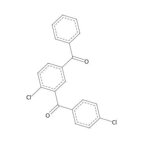 O=C(c1ccccc1)c1ccc(Cl)c(C(=O)c2ccc(Cl)cc2)c1